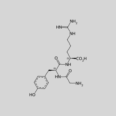 N=C(N)NCCC[C@H](NC(=O)[C@H](Cc1ccc(O)cc1)NC(=O)CN)C(=O)O